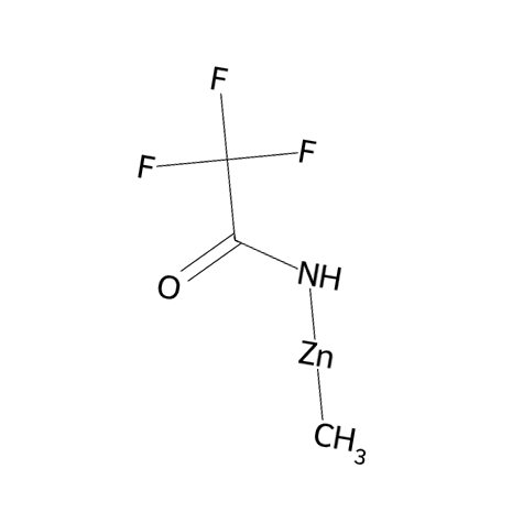 [CH3][Zn][NH]C(=O)C(F)(F)F